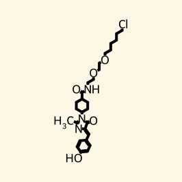 CC1=N/C(=C\c2ccc(O)cc2)C(=O)N1C1CCC(C(=O)NCCOCCOCCCCCCCl)CC1